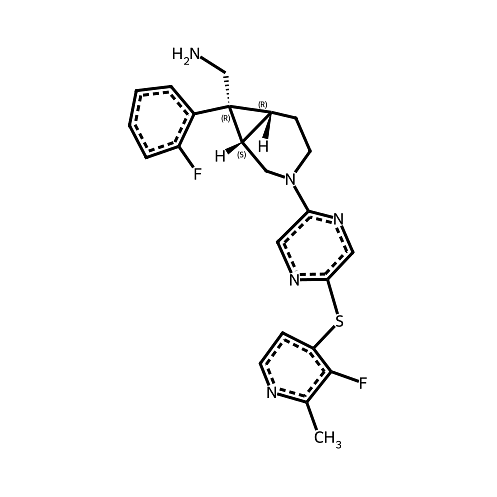 Cc1nccc(Sc2cnc(N3CC[C@@H]4[C@H](C3)[C@@]4(CN)c3ccccc3F)cn2)c1F